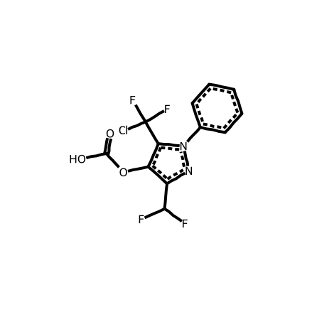 O=C(O)Oc1c(C(F)F)nn(-c2ccccc2)c1C(F)(F)Cl